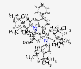 Cc1cc2c(cc1N1c3cc4c(cc3B3c5ccc(-c6ccccc6)cc5N(c5ccc6c(c5C)C(C)(C)CCC6(C)C)c5cc(C(C)(C)C)cc1c53)C(C)(C)CC4(C)C)C(C)(C)CC2(C)C